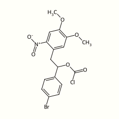 COc1cc(CC(OC(=O)Cl)c2ccc(Br)cc2)c([N+](=O)[O-])cc1OC